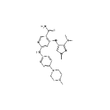 CN1CCN(c2ccc(Nc3cc(Nc4cn(C)nc4N(C)C)c(C(N)=O)cn3)nc2)CC1